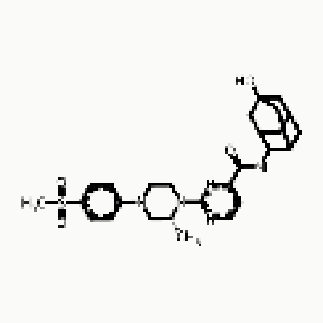 C[C@@H]1CN(c2ccc(S(C)(=O)=O)cc2)CCN1c1nccc(C(=O)NC2C3CC4CC2CC(O)(C4)C3)n1